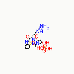 CC(=O)N1C[C@H](O)C[C@H]1C(=O)N[C@@H](CCCNC=NN)C(=O)c1nc2ccccc2s1.O=S(=O)(O)O